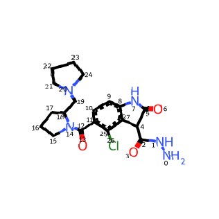 NNC(=O)C1C(=O)Nc2ccc(C(=O)N3CCCC3CN3CCCC3)c(Cl)c21